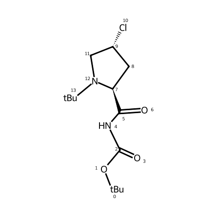 CC(C)(C)OC(=O)NC(=O)[C@@H]1C[C@@H](Cl)CN1C(C)(C)C